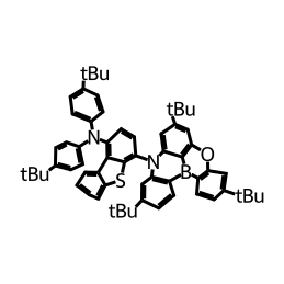 CC(C)(C)c1ccc(N(c2ccc(C(C)(C)C)cc2)c2ccc(N3c4cc(C(C)(C)C)ccc4B4c5ccc(C(C)(C)C)cc5Oc5cc(C(C)(C)C)cc3c54)c3sc4ccccc4c23)cc1